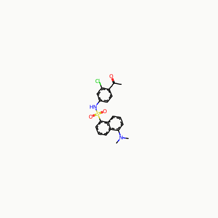 CC(=O)c1ccc(NS(=O)(=O)c2cccc3c(N(C)C)cccc23)cc1Cl